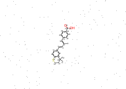 CC(C=Cc1ccc2c(c1)C(C)(C)CCS2)=Cc1ccc(C(=O)O)cc1